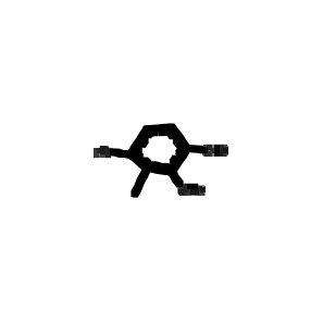 CCCc1ccc(C=O)c(OC)c1C